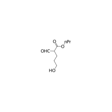 CCCOC(=O)C(C=O)CCCO